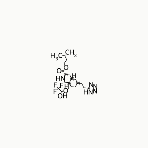 CC(C)CCOC(=O)[C@@H]1C[C@H]2C[C@@H](CCc3nnn[nH]3)CC[C@H]2CN1.O=C(O)C(F)(F)F